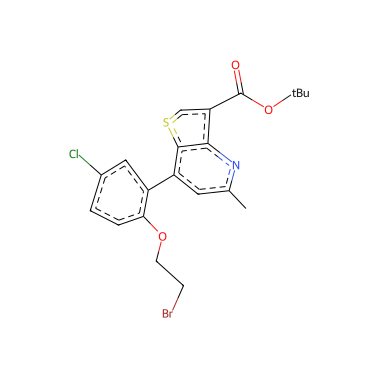 Cc1cc(-c2cc(Cl)ccc2OCCBr)c2scc(C(=O)OC(C)(C)C)c2n1